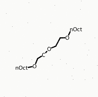 CCCCCCCCOCCOCCOCCCCCCCC